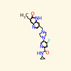 CCc1cc2ncc(CN3CCN(c4cnc(C(=O)NC5CC5)cc4F)CC3)cc2[nH]c1=O